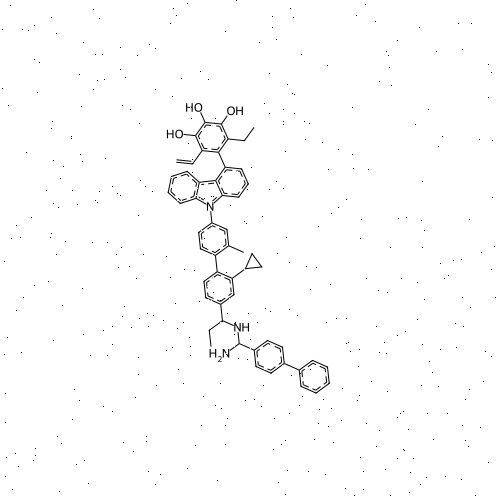 C=Cc1c(O)c(O)c(O)c(CC)c1-c1cccc2c1c1ccccc1n2-c1ccc(-c2ccc(C(CC)NC(N)c3ccc(-c4ccccc4)cc3)cc2C2CC2)c(C)c1